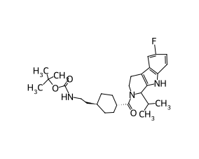 CC(C)C1c2[nH]c3ccc(F)cc3c2CCN1C(=O)[C@H]1CC[C@H](CCNC(=O)OC(C)(C)C)CC1